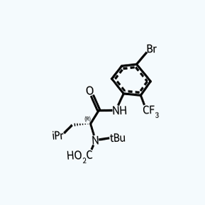 CC(C)C[C@H](C(=O)Nc1ccc(Br)cc1C(F)(F)F)N(C(=O)O)C(C)(C)C